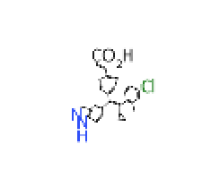 Cc1cc(Cl)ccc1C(=C(c1ccc(C=CC(=O)O)cc1)c1ccc2[nH]ncc2c1)C1CC1